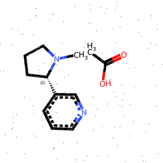 CC(=O)O.CN1CCC[C@H]1c1cccnc1